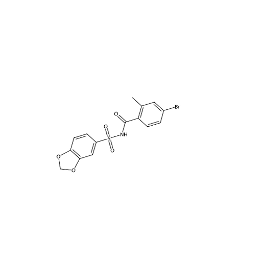 Cc1cc(Br)ccc1C(=O)NS(=O)(=O)c1ccc2c(c1)OCO2